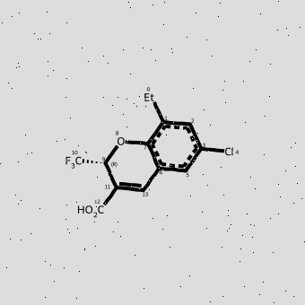 CCc1cc(Cl)cc2c1O[C@@H](C(F)(F)F)C(C(=O)O)=C2